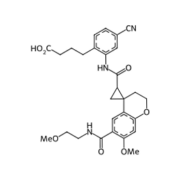 COCCNC(=O)c1cc2c(cc1OC)OCCC21CC1C(=O)Nc1cc(C#N)ccc1CCCC(=O)O